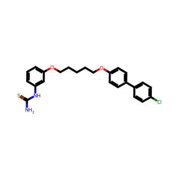 NC(=S)Nc1cccc(OCCCCCOc2ccc(-c3ccc(Cl)cc3)cc2)c1